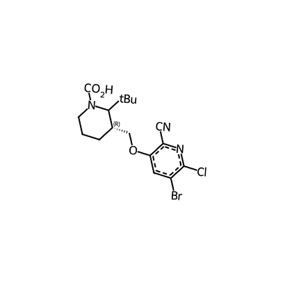 CC(C)(C)C1[C@H](COc2cc(Br)c(Cl)nc2C#N)CCCN1C(=O)O